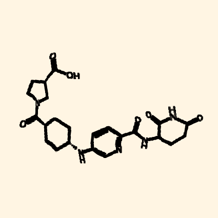 O=C1CCC(NC(=O)c2ccc(N[C@H]3CC[C@H](C(=O)N4CC[C@@H](C(=O)O)C4)CC3)cn2)C(=O)N1